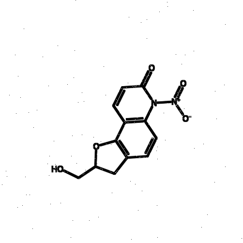 O=c1ccc2c3c(ccc2n1[N+](=O)[O-])CC(CO)O3